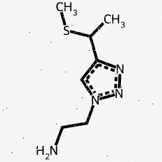 CSC(C)c1cn(CCN)nn1